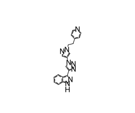 c1ccc2c(-c3cn(-c4cnn(CCc5ccncc5)c4)nn3)n[nH]c2c1